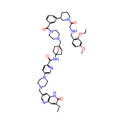 CCOc1cc(OC)ccc1CNCC(=O)N1CCCC(c2cccc(C(=O)N3CCN(CC45CCC(NC(=O)c6ccc(N7CCN(Cc8cnc9cc(CC)c(=O)[nH]c9c8)CC7)cn6)(CC4)CO5)CC3)c2)C1